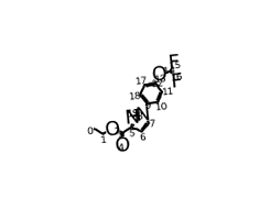 CCOC(=O)c1ccn(-c2ccc(OC(F)F)cc2)n1